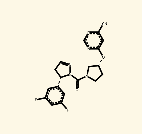 N#Cc1cc(O[C@@H]2CCN(C(=O)N3N=CC[C@H]3c3cc(F)cc(F)c3)C2)ncn1